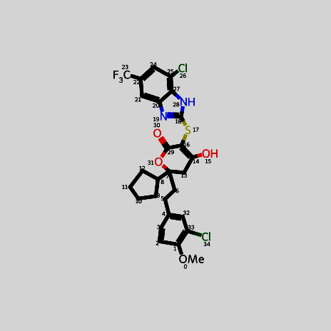 COc1ccc(CCC2(C3CCCC3)CC(O)=C(Sc3nc4cc(C(F)(F)F)cc(Cl)c4[nH]3)C(=O)O2)cc1Cl